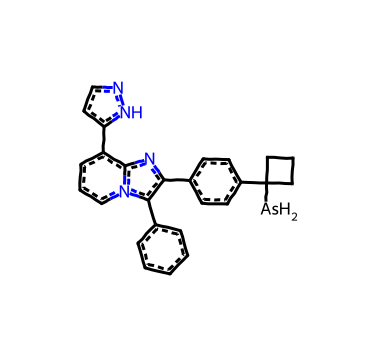 [AsH2]C1(c2ccc(-c3nc4c(-c5ccn[nH]5)cccn4c3-c3ccccc3)cc2)CCC1